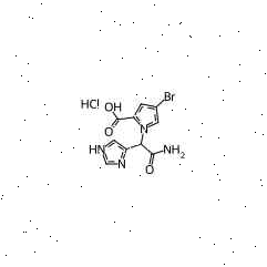 Cl.NC(=O)C(c1c[nH]cn1)n1cc(Br)cc1C(=O)O